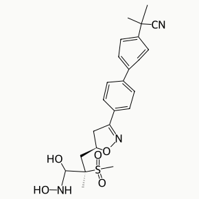 CC(C)(C#N)c1ccc(-c2ccc(C3=NO[C@@H](C[C@](C)(C(O)NO)S(C)(=O)=O)C3)cc2)cc1